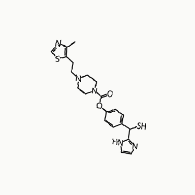 Cc1ncsc1CCN1CCN(C(=O)Oc2ccc(C(S)c3ncc[nH]3)cc2)CC1